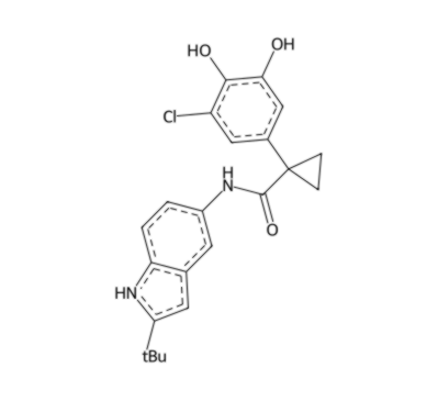 CC(C)(C)c1cc2cc(NC(=O)C3(c4cc(O)c(O)c(Cl)c4)CC3)ccc2[nH]1